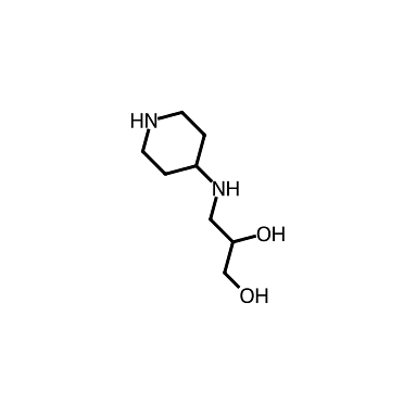 OCC(O)CNC1CCNCC1